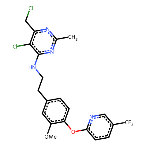 COc1cc(CCNc2nc(C)nc(CCl)c2Cl)ccc1Oc1ccc(C(F)(F)F)cn1